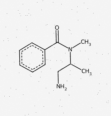 CC(CN)N(C)C(=O)c1ccccc1